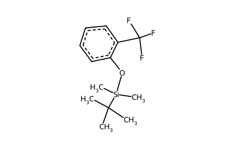 CC(C)(C)[Si](C)(C)Oc1ccccc1C(F)(F)F